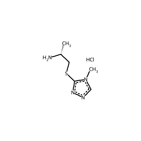 C[C@@H](N)CSc1nncn1C.Cl